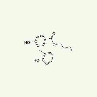 CCCCOC(=O)c1ccc(O)cc1.Cc1ccccc1O